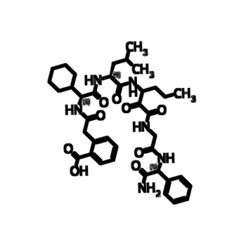 CCCC(NC(=O)[C@H](CC(C)C)NC(=O)[C@@H](NC(=O)Cc1ccccc1C(=O)O)C1CCCCC1)C(=O)C(=O)NCC(=O)N[C@H](C(N)=O)c1ccccc1